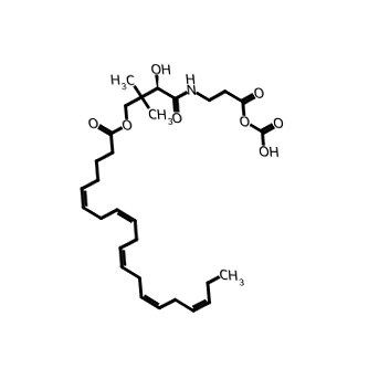 CC/C=C\C/C=C\C/C=C\C/C=C\C/C=C\CCCC(=O)OCC(C)(C)[C@@H](O)C(=O)NCCC(=O)OC(=O)O